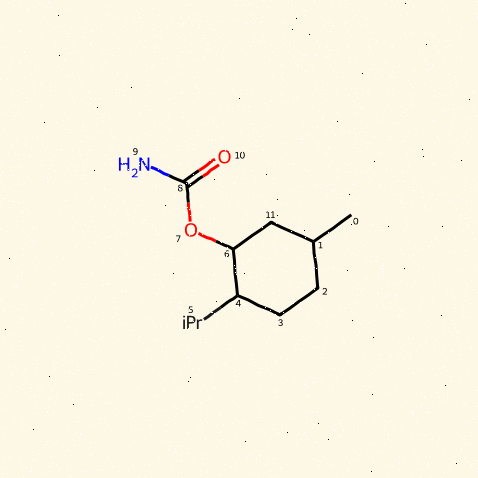 CC1CCC(C(C)C)C(OC(N)=O)C1